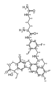 CC[C@@]1(O)C(=O)OCc2c1cc1n(c2=O)Cc2c-1nc1cc(F)c(C)c3c1c2[C@@H](NCc1c(F)cc(NC(=O)C(N)CCCNC(N)=O)cc1F)CC3